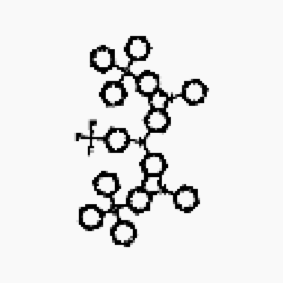 FC(F)(F)c1ccc(N(c2ccc3c(c2)c2cc([Si](c4ccccc4)(c4ccccc4)c4ccccc4)ccc2n3-c2ccccc2)c2ccc3c(c2)c2cc([Si](c4ccccc4)(c4ccccc4)c4ccccc4)ccc2n3-c2ccccc2)cc1